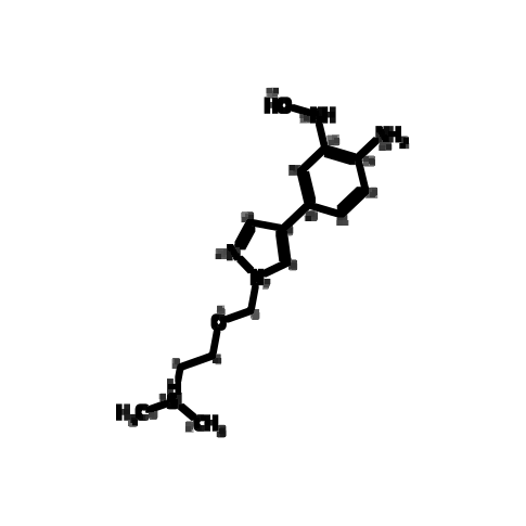 C[SiH](C)CCOCn1cc(-c2ccc(N)c(NO)c2)cn1